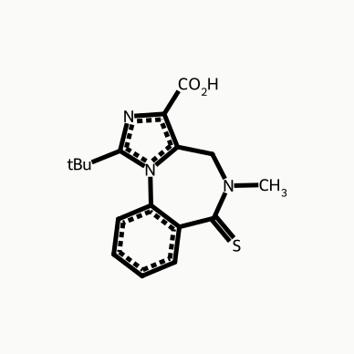 CN1Cc2c(C(=O)O)nc(C(C)(C)C)n2-c2ccccc2C1=S